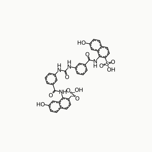 O=C(Nc1cccc(C(=O)Nc2c(S(=O)(=O)O)ccc3ccc(O)cc23)c1)Nc1cccc(C(=O)Nc2c(S(=O)(=O)O)ccc3ccc(O)cc23)c1